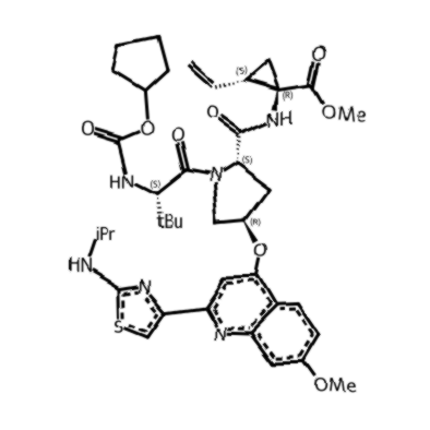 C=C[C@@H]1C[C@]1(NC(=O)[C@@H]1C[C@@H](Oc2cc(-c3csc(NC(C)C)n3)nc3cc(OC)ccc23)CN1C(=O)[C@@H](NC(=O)OC1CCCC1)C(C)(C)C)C(=O)OC